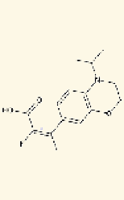 C/C(=C(\F)C(=O)O)c1ccc2c(c1)OCCN2C(C)C